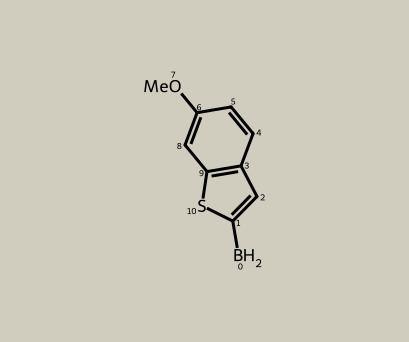 Bc1cc2ccc(OC)cc2s1